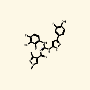 Cc1nn(C)cc1C(=O)/N=C(\Nc1cc(-c2ccc(O)c(F)c2)n[nH]1)Nc1ccc(F)c(O)c1F